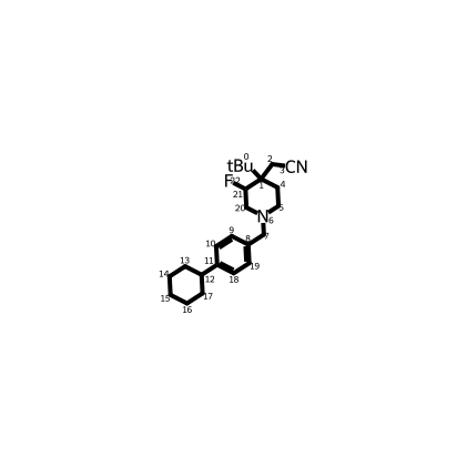 CC(C)(C)C1(CC#N)CCN(Cc2ccc(C3CCCCC3)cc2)CC1F